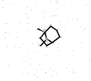 CN1C2CCC[C@@]1(C)CC2